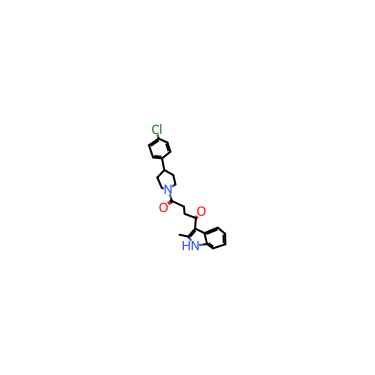 Cc1[nH]c2ccccc2c1C(=O)CCC(=O)N1CCC(c2ccc(Cl)cc2)CC1